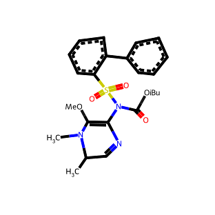 COC1=C(N(C(=O)OCC(C)C)S(=O)(=O)c2ccccc2-c2ccccc2)N=CC(C)N1C